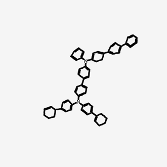 C1=C=C(c2ccc(C3=CC=C(N(c4ccccc4)c4ccc(-c5ccc(N(c6ccc(C7=CCCCC7)cc6)c6ccc(C7C=CCCC7)cc6)cc5)cc4)CC3)cc2)C=CC=1